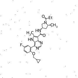 CCC(=O)N1C[C@H](NC(=O)c2c(C)[nH]c3c(-c4cc(F)ccc4OCC4CC4)ncnc23)C[C@@H]1C